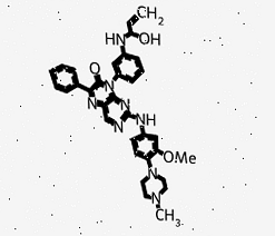 C=CC(O)Nc1cccc(-n2c(=O)c(-c3ccccc3)nc3cnc(Nc4ccc(N5CCN(C)CC5)c(OC)c4)nc32)c1